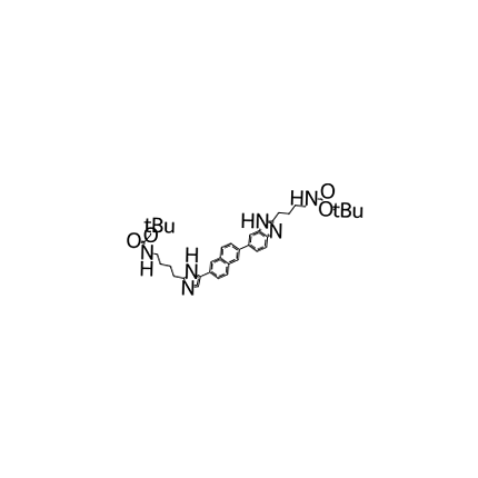 CC(C)(C)OC(=O)NCCCCc1ncc(-c2ccc3cc(-c4ccc5nc(CCCCNC(=O)OC(C)(C)C)[nH]c5c4)ccc3c2)[nH]1